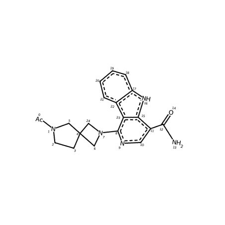 CC(=O)N1CCC2(C1)CN(c1ncc(C(N)=O)c3[nH]c4ccccc4c13)C2